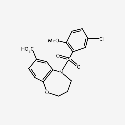 COc1ccc(Cl)cc1S(=O)(=O)N1CCCOc2ccc(C(=O)O)cc21